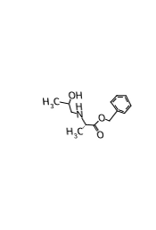 CC(O)CN[C@@H](C)C(=O)OCc1ccccc1